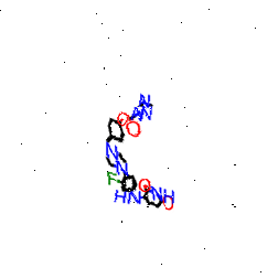 O=C1CCC(Nc2ccc(N3CCN(CC4CCC(OC(=O)n5cncn5)CC4)CC3)c(F)c2)C(=O)N1